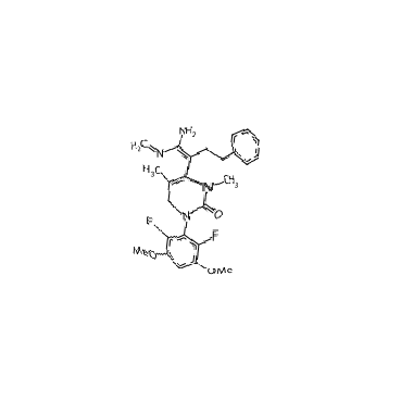 C=N/C(N)=C(/CCc1ccccc1)C1=C(C)CN(c2c(F)c(OC)cc(OC)c2F)C(=O)N1C